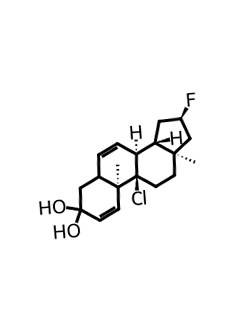 C[C@]12CC[C@@]3(Cl)[C@@H](C=CC4CC(O)(O)C=C[C@@]43C)[C@@H]1C[C@@H](F)C2